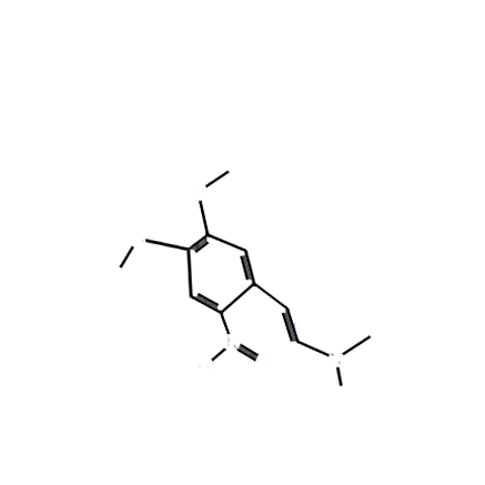 COc1cc(/C=C/N(C)C)c([N+](=O)[O-])cc1OC